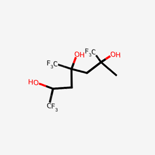 CC(O)(CC(O)(CC(O)C(F)(F)F)C(F)(F)F)C(F)(F)F